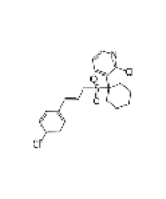 O=S(=O)(CC=Cc1ccc(Cl)cc1)C1(c2cccnc2Cl)CCCCC1